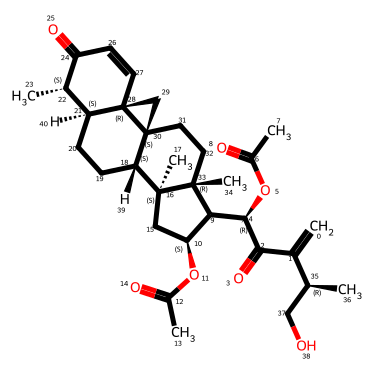 C=C(C(=O)[C@H](OC(C)=O)C1[C@@H](OC(C)=O)C[C@@]2(C)[C@@H]3CC[C@H]4[C@H](C)C(=O)C=C[C@@]45C[C@@]35CC[C@]12C)[C@@H](C)CO